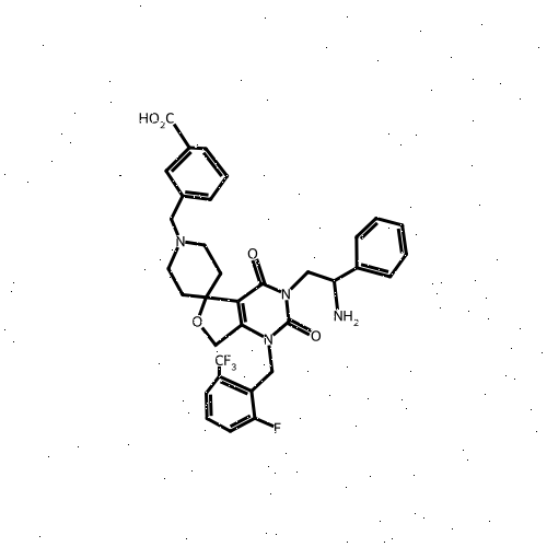 NC(Cn1c(=O)c2c(n(Cc3c(F)cccc3C(F)(F)F)c1=O)COC21CCN(Cc2cccc(C(=O)O)c2)CC1)c1ccccc1